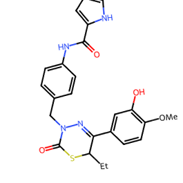 CCC1SC(=O)N(Cc2ccc(NC(=O)c3ccc[nH]3)cc2)N=C1c1ccc(OC)c(O)c1